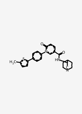 Cc1ccc(-c2ccc(-n3cc(C(=O)NC4CN5CCC4CC5)ccc3=O)cc2)s1